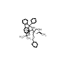 C=CC[C@](CO)(COCc1ccccc1)[C@H](NC1(c2ccccc2)c2ccccc2-c2ccccc21)C(=O)OC(C)(C)C